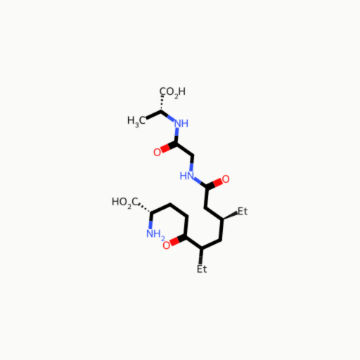 CCC(C[C@H](CC)CC(=O)NCC(=O)N[C@H](C)C(=O)O)C(=O)CC[C@H](N)C(=O)O